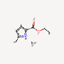 CCOC(=O)c1ccc(C)[n-]1.[Na+]